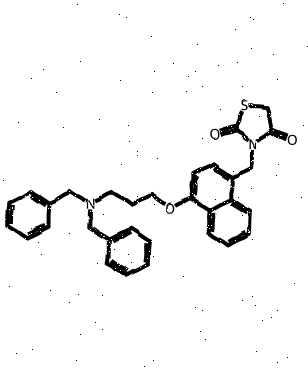 O=C1CSC(=O)N1Cc1ccc(OCCCN(Cc2ccccc2)Cc2ccccc2)c2ccccc12